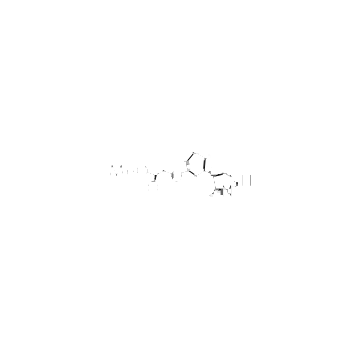 COC(=O)COc1c[c]cc(-c2c[nH]nc2C)c1